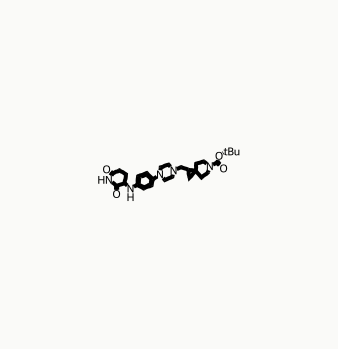 CC(C)(C)OC(=O)N1CCC2(CC1)CC2CN1CCN(c2ccc(NC3CCC(=O)NC3=O)cc2)CC1